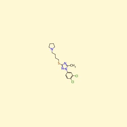 Cc1nc(SCCCCN2CCCC2)nn1-c1ccc(Cl)c(Cl)c1